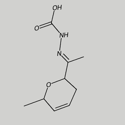 CC(=NNC(=O)O)C1CC=CC(C)O1